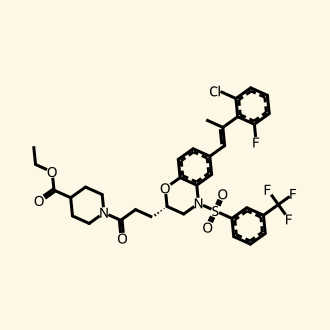 CCOC(=O)C1CCN(C(=O)CC[C@H]2CN(S(=O)(=O)c3cccc(C(F)(F)F)c3)c3cc(/C=C(\C)c4c(F)cccc4Cl)ccc3O2)CC1